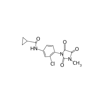 CN1C(=O)C(=O)N(c2ccc(NC(=O)C3CC3)cc2Cl)C1=O